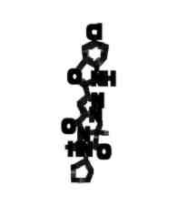 CCN1C(=O)c2cc(C(=O)Nc3ccc(Cl)cc3C)nn2CC1(C)C(=O)NC1CCCC1